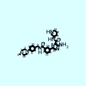 CN1CCN(c2ccc(CNC(=O)c3cccc(-c4cnc(N)c(C(=O)N[C@H]5CCCNC5)n4)c3)cc2)CC1